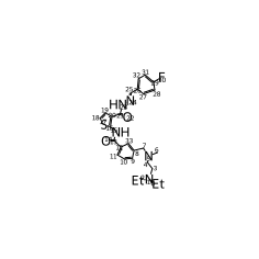 CCN(CC)CCN(C)Cc1cccc(C(=O)Nc2sccc2C(=O)NN=Cc2ccc(F)cc2)c1